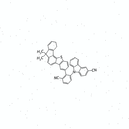 CC1(C)C2=C(CCC=C2)c2c1ccc1c2sc2ccc(-c3c(C#N)cccc3-n3c4ccccc4c4cc(C#N)ccc43)cc21